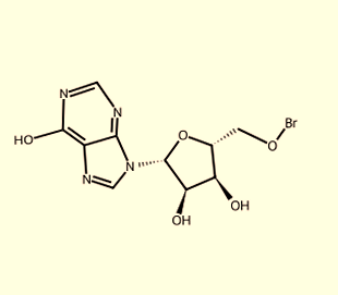 Oc1ncnc2c1ncn2[C@@H]1O[C@H](COBr)[C@@H](O)[C@H]1O